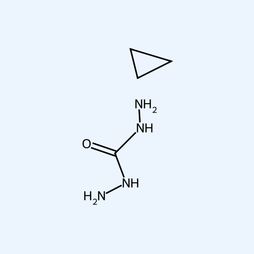 C1CC1.NNC(=O)NN